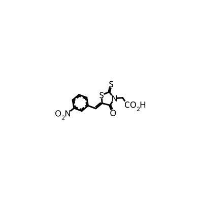 O=C(O)CN1C(=O)/C(=C/c2cccc([N+](=O)[O-])c2)SC1=S